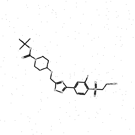 CC(C)(C)OC(=O)N1CCC(OCc2nc(-c3ccc(S(=O)(=O)CCO)c(F)c3)no2)CC1